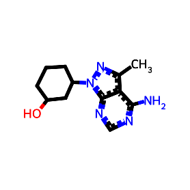 Cc1nn(C2CCCC(O)C2)c2ncnc(N)c12